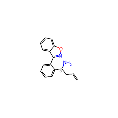 C=CC[C@H](N)c1ccccc1-c1noc2ccccc12